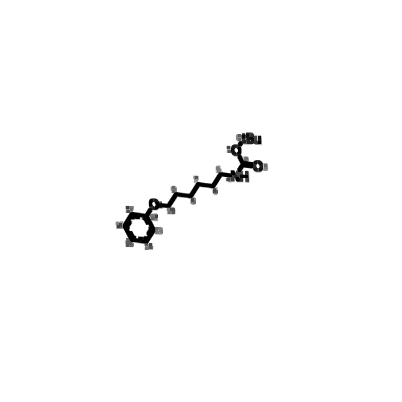 CC(C)(C)OC(=O)NCCCCCCOc1cc[c]cc1